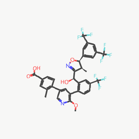 COc1ncc(-c2ccc(C(=O)O)cc2C)cc1-c1ccc(C(F)(F)F)cc1[C@@H](O)C1=NO[C@@H](c2cc(C(F)(F)F)cc(C(F)(F)F)c2)[C@H]1C